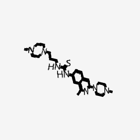 Cc1nc(N2CCN(C)CC2)cc2ccc(NC(=S)NCCCN3CCN(C)CC3)cc12